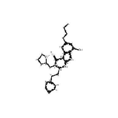 CCCCc1cc(O)c2sc3nc(CCc4ccccc4)n(CC4CCCO4)c(=O)c3c2c1